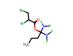 CCCC(OC(=O)C(Br)CBr)(N(F)F)N(F)F